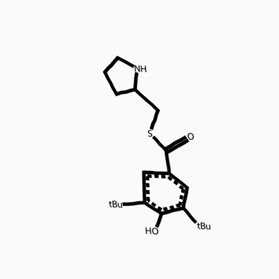 CC(C)(C)c1cc(C(=O)SCC2CCCN2)cc(C(C)(C)C)c1O